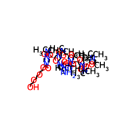 CC(C)N1C[C@@H](COP(=O)(N(C)C)N2C[C@@H](COP(=O)(N(C)C)N3C[C@@H](COP(=O)(N(C)C)N4C[C@@H](COP(=O)(N(C)C)N5CCN(C(=O)OCCOCCOCCO)CC5)O[C@@H](n5ccc(N)nc5=O)C4)O[C@@H](C)C3)O[C@@H](C)C2)O[C@@H](C)C1